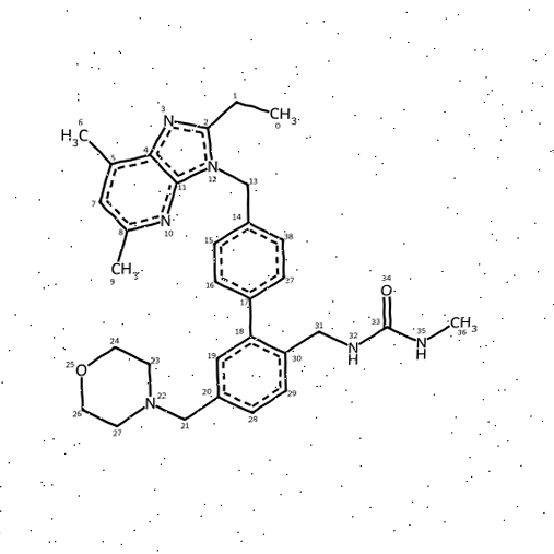 CCc1nc2c(C)cc(C)nc2n1Cc1ccc(-c2cc(CN3CCOCC3)ccc2CNC(=O)NC)cc1